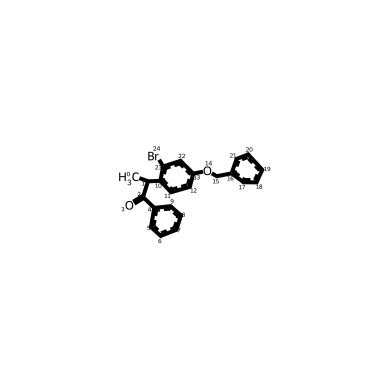 CC(C(=O)c1ccccc1)c1ccc(OCc2ccccc2)cc1Br